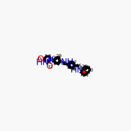 O=C1CCN(c2ccc(NCc3ccc(CNC45CC6CC(CC(C6)C4)C5)cc3)cc2)C(=O)N1